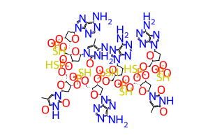 COP(=O)(S)O[C@@H]1C[C@H](n2cnc3c(N)ncnc32)O[C@@H]1COP(=O)(S)O[C@@H]1C[C@H](n2cc(C)c(=O)[nH]c2=O)O[C@@H]1COP(=O)(S)O[C@@H]1C[C@H](n2cnc3c(N)ncnc32)O[C@@H]1COP(=O)(S)O[C@@H]1C[C@H](n2cnc3c(N)ncnc32)O[C@@H]1COP(=O)(S)O[C@@H]1C[C@H](n2cc(C)c(=O)[nH]c2=O)O[C@@H]1COP(=O)(S)O[C@@H]1C[C@H](n2cc(C)c(N)nc2=O)O[C@@H]1COP(=O)(S)O[C@@H]1C[C@H](n2cnc3c(N)ncnc32)O[C@@H]1C